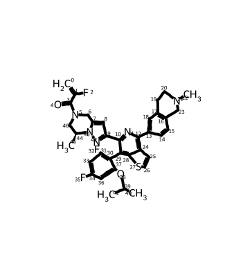 C=C(F)C(=O)N1Cc2cc(-c3nc(-c4ccc5c(c4)CCN(C)C5)c4ccsc4c3-c3c(F)cc(F)cc3OC(C)C)nn2[C@@H](C)C1